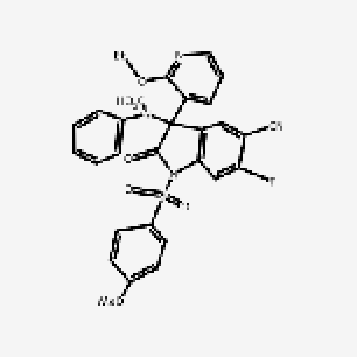 CCOc1ncccc1C1(N(C(=O)O)c2ccccc2)C(=O)N(S(=O)(=O)c2ccc(OC)cc2)c2cc(F)c(C#N)cc21